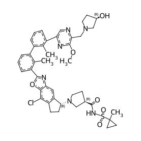 COc1nc(-c2cccc(-c3cccc(-c4nc5cc6c(c(Cl)c5o4)CC[C@H]6N4CC[C@@H](C(=O)NS(=O)(=O)C5(C)CC5)C4)c3C)c2C)cnc1CN1CC[C@@H](O)C1